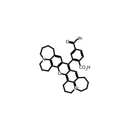 CC(C)C(=O)c1ccc(C(=O)O)c(C2=c3cc4c5c(c3Oc3c2cc2c6c3CCCN6CCCC2)CCC[N+]=5CCCC4)c1